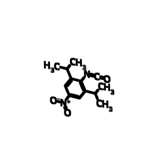 CC(C)c1cc([N+](=O)[O-])cc(C(C)C)c1N=C=O